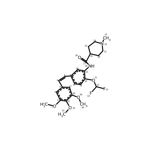 COc1cc(/C=C\c2ccc(OC(F)F)c(NC(=O)C3CCN(C)CC3)c2)cc(OC)c1OC